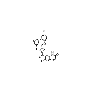 O=C1COc2cc(F)c(C(=O)N3CC(COc4ccc(Cl)cc4-c4cncc(F)c4)C3)cc2N1